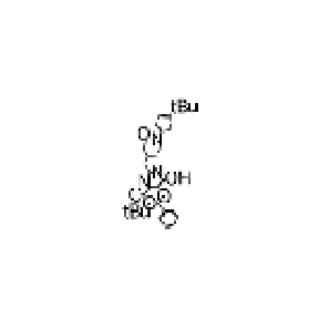 CC(C)(C)OC(=O)c1nc(CC2CCN(c3ccc(C(C)(C)C)cc3)C(=O)C2)nc(O)c1OCc1ccccc1